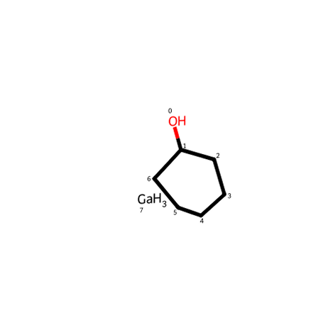 OC1CCCCC1.[GaH3]